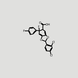 O=C(O)C1C=C2OC(c3ccc(Cl)cc3Cl)OC2=CC1(F)c1ccc(F)cc1